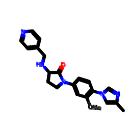 COc1cc(N2CCC(NCc3ccncc3)C2=O)ccc1-n1cnc(C)c1